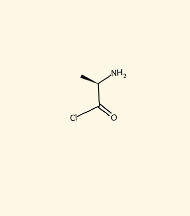 C[C@@H](N)C(=O)Cl